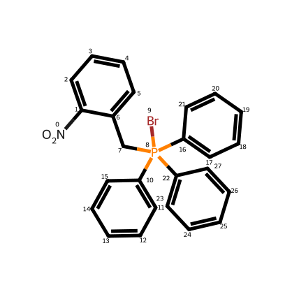 O=[N+]([O-])c1ccccc1CP(Br)(c1ccccc1)(c1ccccc1)c1ccccc1